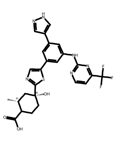 C[C@@H]1C[C@@](O)(c2ncc(-c3cc(Nc4nccc(C(F)(F)F)n4)cc(-c4cn[nH]c4)c3)s2)CCC1C(=O)O